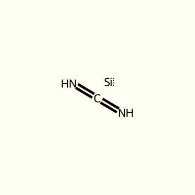 N=C=N.[Si]